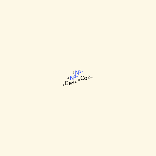 [Co+2].[Ge+4].[N-3].[N-3]